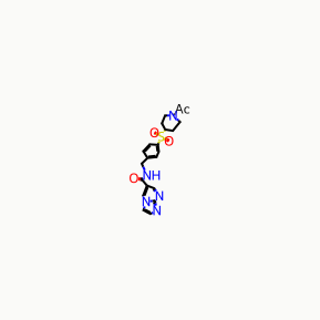 CC(=O)N1CCC(S(=O)(=O)c2ccc(CNC(=O)c3cnc4nccn4c3)cc2)CC1